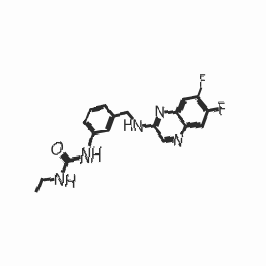 CCNC(=O)Nc1cccc(CNc2cnc3cc(F)c(F)cc3n2)c1